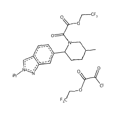 CC1CCC(c2ccc3cn(C(C)C)nc3c2)N(C(=O)C(=O)OCC(F)(F)F)C1.O=C(Cl)C(=O)OCC(F)(F)F